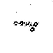 O=C(Nc1ccc(N2CCOCC2)nc1)c1nnc(N(c2ccccc2)c2ccc(F)cc2)o1